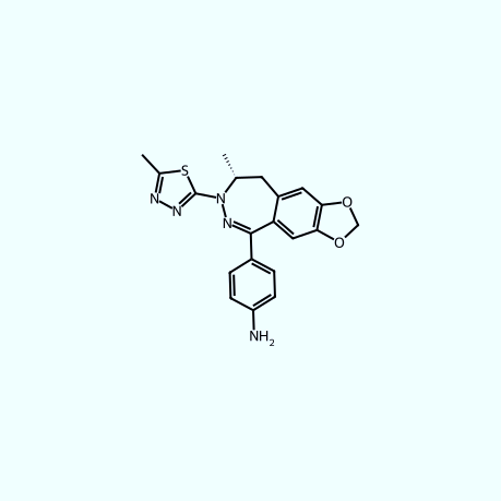 Cc1nnc(N2N=C(c3ccc(N)cc3)c3cc4c(cc3C[C@H]2C)OCO4)s1